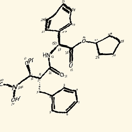 CCC[C@@H]([C@@H](Cc1ccccc1)C(=O)N[C@H](C(=O)OC1CCCC1)c1ccccc1)N(O)C=O